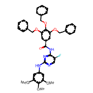 COc1cc(Nc2ncc(F)c(NC(=O)c3cc(OCc4ccccc4)c(OCc4ccccc4)c(OCc4ccccc4)c3)n2)cc(OC)c1OC